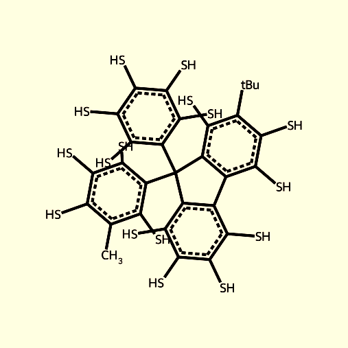 Cc1c(S)c(S)c(S)c(C2(c3c(S)c(S)c(S)c(S)c3S)c3c(S)c(S)c(S)c(S)c3-c3c(S)c(S)c(C(C)(C)C)c(S)c32)c1S